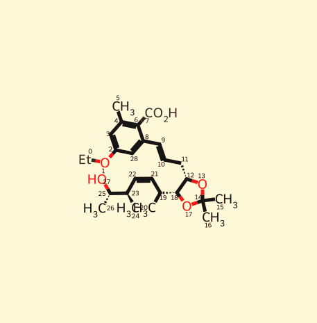 CCOc1cc(C)c(C(=O)O)c(/C=C/C[C@@H]2OC(C)(C)O[C@@H]2C(C)/C=C\[C@@H](C)[C@H](C)O)c1